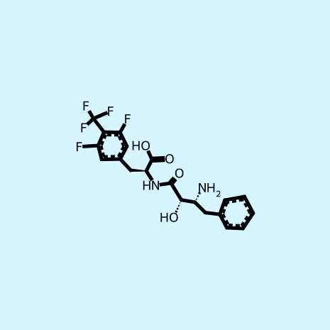 N[C@H](Cc1ccccc1)[C@H](O)C(=O)N[C@@H](Cc1cc(F)c(C(F)(F)F)c(F)c1)C(=O)O